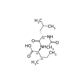 CC[C@H](C)[C@H](NC(=O)[C@H](CC(C)C)NC(C)=O)C(=O)O